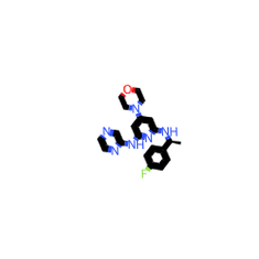 C[C@H](Nc1cc(N2CCOCC2)cc(Nc2cnccn2)n1)c1ccc(F)cc1